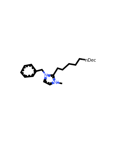 CCCCCCCCCCCCCCCc1n(Cc2ccccc2)cc[n+]1C